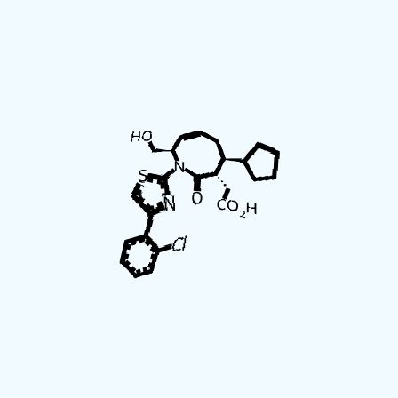 O=C(O)C[C@@H]1C(=O)N(c2nc(-c3ccccc3Cl)cs2)[C@@H](CO)C=CC[C@H]1C1CCCC1